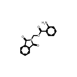 Nc1ccccc1C(=O)OCN1C(=O)c2ccccc2C1=O